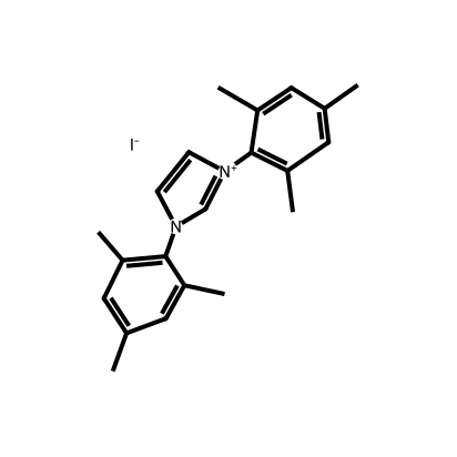 Cc1cc(C)c(-n2cc[n+](-c3c(C)cc(C)cc3C)c2)c(C)c1.[I-]